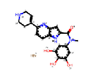 Br.CN(C(=O)c1cc2nc(C3=CCNCC3)ccc2[nH]1)c1cc(O)c(O)c(O)c1